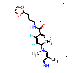 C=C(C(=O)NCCCC1OCCO1)/C(F)=C(/F)C(C)N(C)/C=C(\C=N)C(F)(F)F